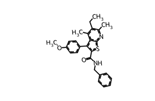 CCc1c(C)nc2sc(C(=O)NCc3ccccc3)c(-c3ccc(OC)cc3)c2c1C